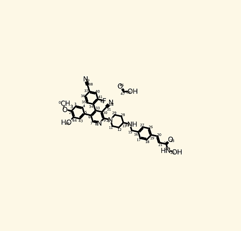 COc1ccc(-c2cnc(N3CCC(NCc4ccc(/C=C/C(=O)NO)cc4)CC3)c(C#N)c2-c2ccc(C#N)cc2F)cc1O.O=CO